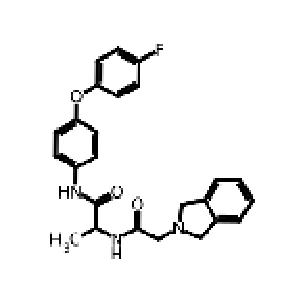 CC(NC(=O)CN1Cc2ccccc2C1)C(=O)Nc1ccc(Oc2ccc(F)cc2)cc1